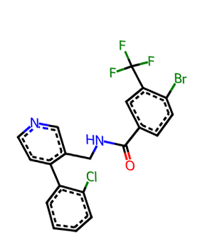 O=C(NCc1cnccc1-c1ccccc1Cl)c1ccc(Br)c(C(F)(F)F)c1